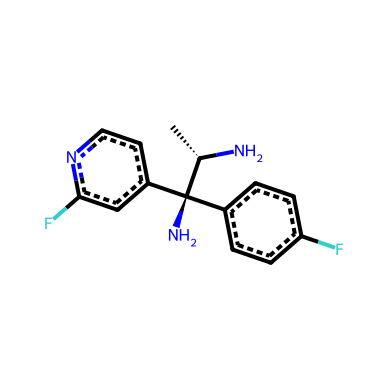 C[C@H](N)[C@](N)(c1ccc(F)cc1)c1ccnc(F)c1